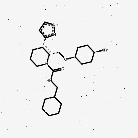 CC(C)[C@H]1CC[C@@H](OC[C@H]2[C@@H](c3cc[nH]n3)CCCN2C(=O)NCC2CCCCC2)CC1